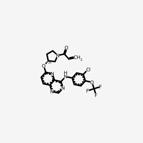 C=CC(=O)N1CC[C@H](Oc2ccc3ncnc(Nc4ccc(OC(F)(F)F)c(Cl)c4)c3n2)C1